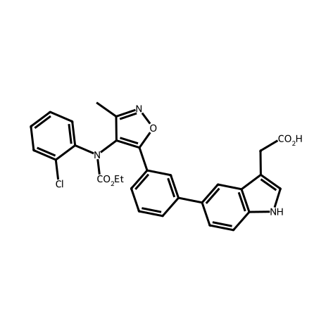 CCOC(=O)N(c1ccccc1Cl)c1c(C)noc1-c1cccc(-c2ccc3[nH]cc(CC(=O)O)c3c2)c1